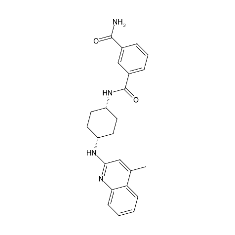 Cc1cc(N[C@H]2CC[C@@H](NC(=O)c3cccc(C(N)=O)c3)CC2)nc2ccccc12